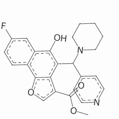 COC(=O)c1coc2c1c(C(c1ccncc1)N1CCCCC1)c(O)c1cc(F)ccc12